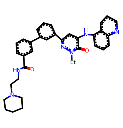 CCn1nc(-c2cccc(-c3cccc(C(=O)NCCN4CCCCC4)c3)c2)cc(Nc2cccc3ncccc23)c1=O